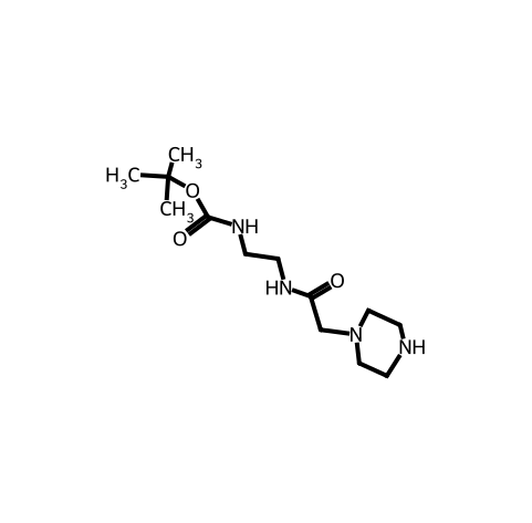 CC(C)(C)OC(=O)NCCNC(=O)CN1CCNCC1